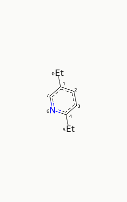 CCc1ccc(CC)nc1